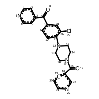 O=C(c1ccncc1)c1ccc(N2CCN(C(=O)c3cccnc3)CC2)c(Cl)c1